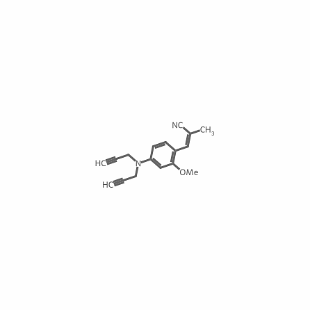 C#CCN(CC#C)c1ccc(/C=C(/C)C#N)c(OC)c1